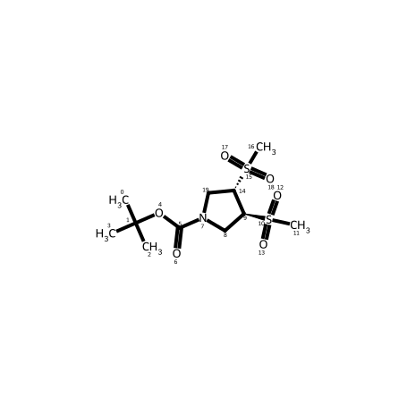 CC(C)(C)OC(=O)N1C[C@H](S(C)(=O)=O)[C@@H](S(C)(=O)=O)C1